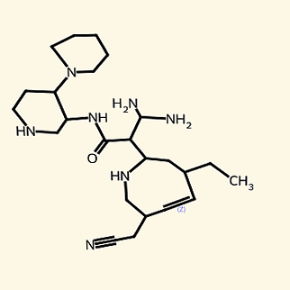 CCC1/C=C\C(CC#N)CNC(C(C(=O)NC2CNCCC2N2CCCCC2)C(N)N)C1